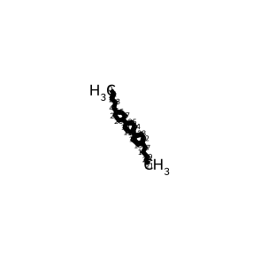 C/C=C/CCC1=CCC(c2ccc(-c3ccc(CCCCC)cc3)cc2)CC1